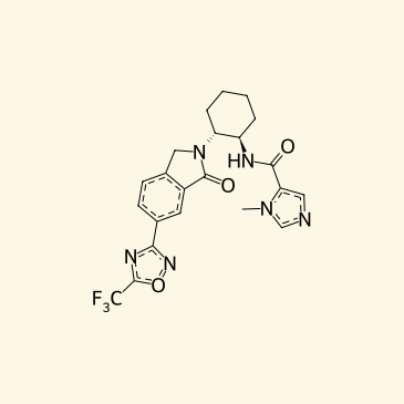 Cn1cncc1C(=O)N[C@@H]1CCCC[C@H]1N1Cc2ccc(-c3noc(C(F)(F)F)n3)cc2C1=O